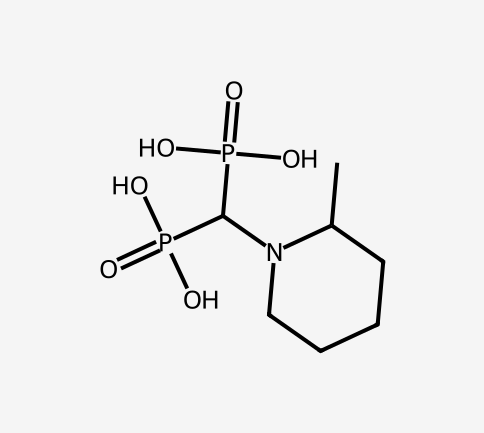 CC1CCCCN1C(P(=O)(O)O)P(=O)(O)O